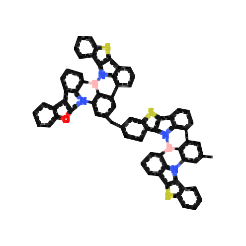 Cc1cc2c3c(c1)-n1c4c(cccc4c4sc5ccccc5c41)B3n1c3c-2cccc3c2sc3cc(Cc4cc5c6c(c4)-n4c7oc8ccccc8c7c7cccc(c74)B6n4c6c-5cccc6c5sc6ccccc6c54)ccc3c21